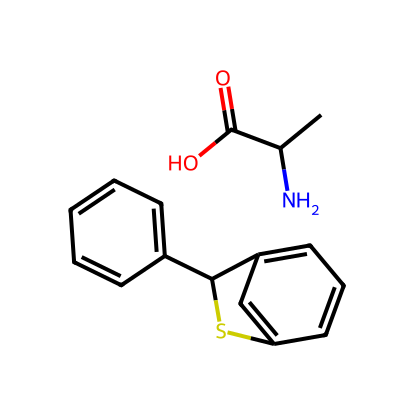 CC(N)C(=O)O.c1ccc(C2Sc3cccc2c3)cc1